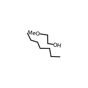 CCCCCCC.COCCO